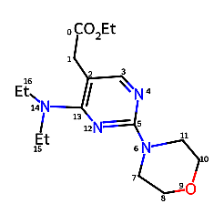 CCOC(=O)Cc1cnc(N2CCOCC2)nc1N(CC)CC